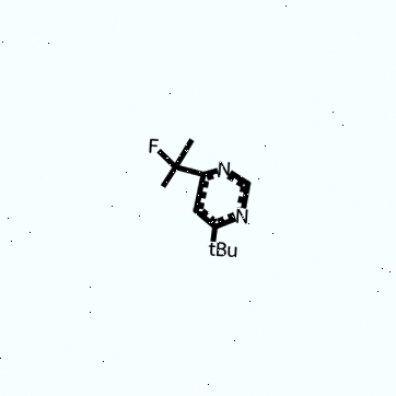 CC(C)(C)c1cc(C(C)(C)F)ncn1